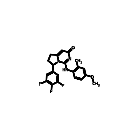 COc1ccc(Nc2nc(=O)cc3n2C(c2cc(F)c(F)c(F)c2)CC3)c(C)c1